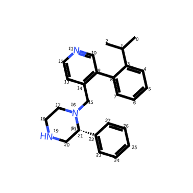 CC(C)c1ccccc1-c1cnccc1CN1CCNC[C@H]1c1ccccc1